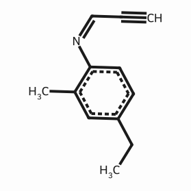 C#C/C=N\c1ccc(CC)cc1C